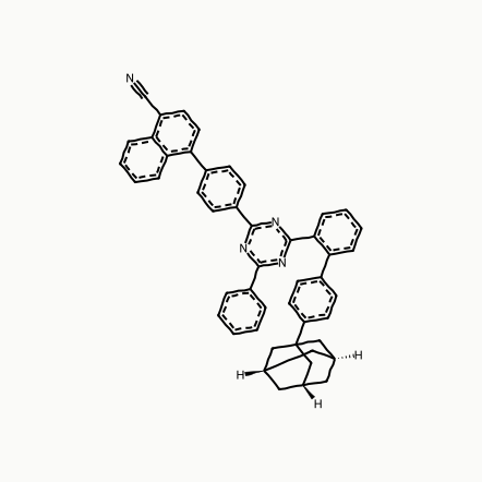 N#Cc1ccc(-c2ccc(-c3nc(-c4ccccc4)nc(-c4ccccc4-c4ccc(C56C[C@H]7C[C@H](C5)C[C@@H](C6)C7)cc4)n3)cc2)c2ccccc12